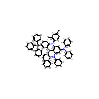 Cc1ccc(N2c3ccc([Si](c4ccccc4)(c4ccccc4)c4ccccc4)cc3B3c4ccc5ccccc5c4N(c4ccccc4)c4cc(N(c5ccccc5)c5ccccc5)cc2c43)c(C)c1